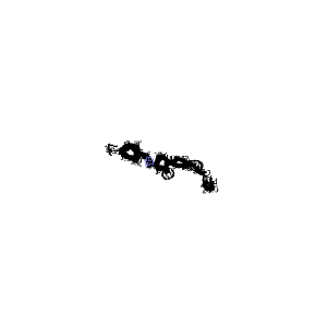 O=c1cc(/C=C/c2ccc(F)cc2)ccn1-c1ccc(OCCN2CCCC2)cc1